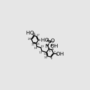 O=P(O)(O)N=C1CC(O)=CC=C1CCCc1ccc(O)cc1